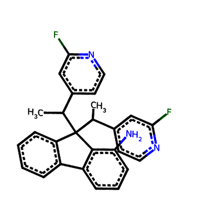 CC(c1ccnc(F)c1)C1(C(C)c2ccnc(F)c2)c2ccccc2-c2cccc(N)c21